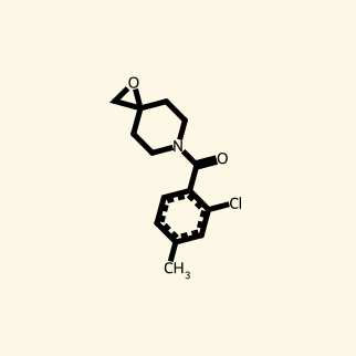 Cc1ccc(C(=O)N2CCC3(CC2)CO3)c(Cl)c1